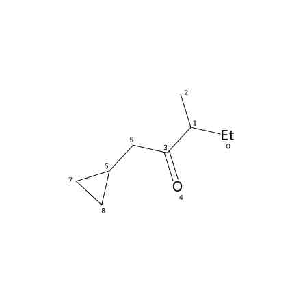 CCC(C)C(=O)CC1CC1